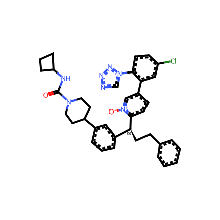 O=C(NC1CCC1)N1CCC(c2cccc([C@H](CCc3ccccc3)c3ccc(-c4cc(Cl)ccc4-n4cnnn4)c[n+]3[O-])c2)CC1